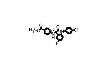 COC(=O)c1ccc(NC(C)(C=O)c2cc(F)ccc2Nc2ccc(Cl)cc2)cc1